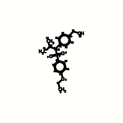 CCOc1ccc(S(=O)(=O)N(c2ccc(CO)cc2)C(C)C)cc1